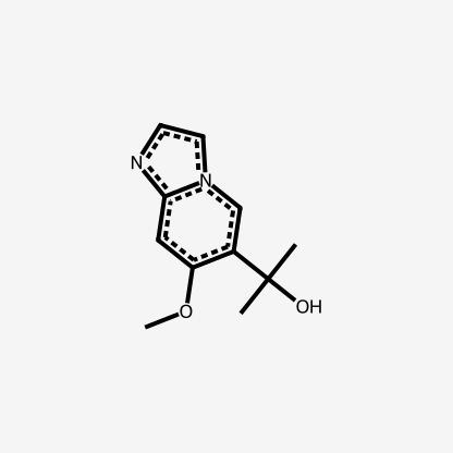 COc1cc2nccn2cc1C(C)(C)O